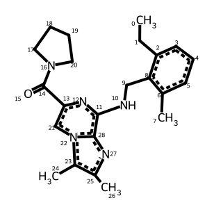 CCc1cccc(C)c1CNc1nc(C(=O)N2CCCC2)cn2c(C)c(C)nc12